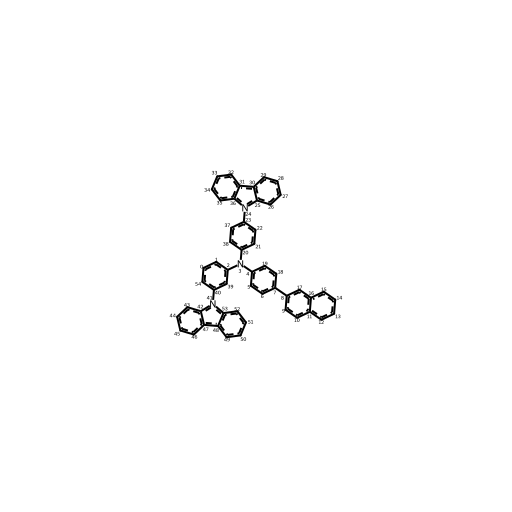 c1cc(N(c2ccc(-c3ccc4ccccc4c3)cc2)c2ccc(-n3c4ccccc4c4ccccc43)cc2)cc(-n2c3ccccc3c3ccccc32)c1